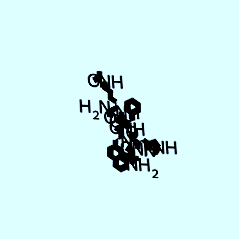 CC(=O)NCCCC[C@H](NC(=O)[C@@H](Cc1ccccc1)NC(=O)[C@@H](Cc1ccc2ccccc2c1)NC(=O)[C@H](Cc1c[nH]cn1)NC(=O)C(C)(C)N)C(N)=O